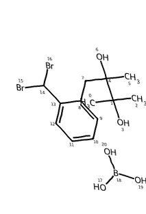 CC(C)(O)C(C)(O)Cc1ccccc1C(Br)Br.OB(O)O